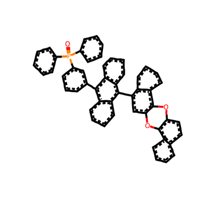 O=P(c1ccccc1)(c1ccccc1)c1cccc(-c2c3ccccc3c(-c3cc4c(c5ccccc35)Oc3ccc5ccccc5c3O4)c3ccccc23)c1